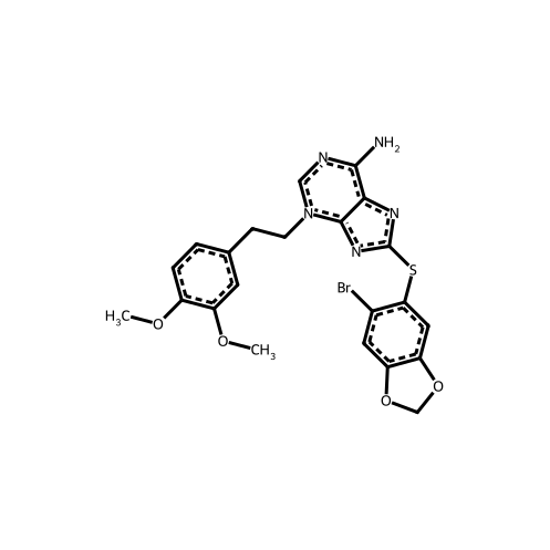 COc1ccc(CCn2cnc(N)c3nc(Sc4cc5c(cc4Br)OCO5)nc2-3)cc1OC